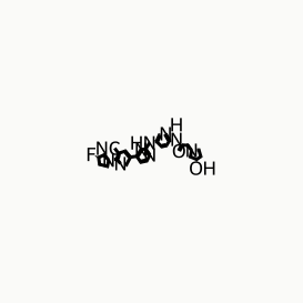 N#Cc1cc(-c2ccnc(Nc3ccc(NC(=O)CN4CC[C@H](O)C4)nc3)n2)cnc1N1CC[C@H](F)C1